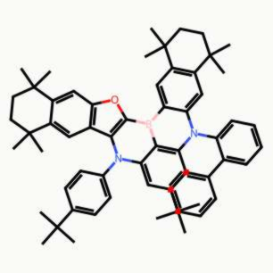 CC(C)(C)c1ccc(N2c3cc(C(C)(C)C)cc4c3B(c3cc5c(cc3N4c3ccccc3-c3ccccc3)C(C)(C)CCC5(C)C)c3oc4cc5c(cc4c32)C(C)(C)CCC5(C)C)cc1